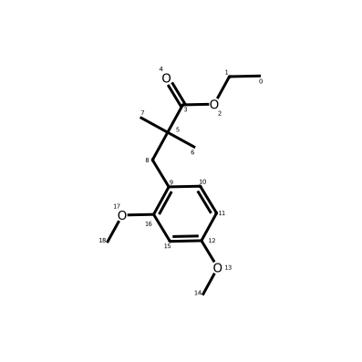 CCOC(=O)C(C)(C)Cc1ccc(OC)cc1OC